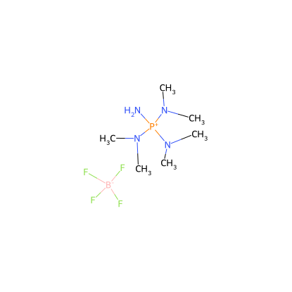 CN(C)[P+](N)(N(C)C)N(C)C.F[B-](F)(F)F